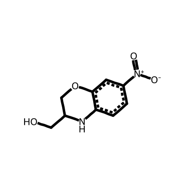 O=[N+]([O-])c1ccc2c(c1)OCC(CO)N2